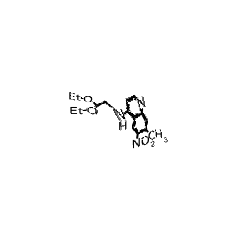 CCOC(CNc1ccnc2cc(C)c([N+](=O)[O-])cc12)OCC